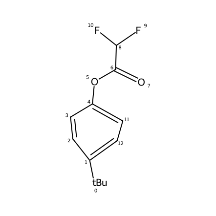 CC(C)(C)c1ccc(OC(=O)C(F)F)cc1